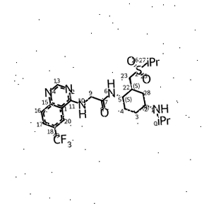 CC(C)N[C@@H]1CC[C@H](NC(=O)CNc2ncnc3ccc(C(F)(F)F)cc23)[C@@H](CS(=O)(=O)C(C)C)C1